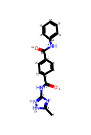 Cc1nc(NC(=O)c2ccc(C(=O)Nc3ccccc3)cc2)n[nH]1